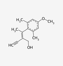 C#CC(CO)=C(C)c1c(C)cc(OC)cc1C